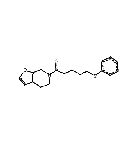 O=C(CCCCSc1ccccc1)N1CCC2C=COC2C1